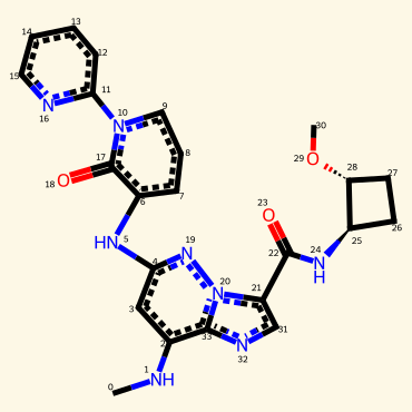 CNc1cc(Nc2cccn(-c3ccccn3)c2=O)nn2c(C(=O)N[C@@H]3CC[C@H]3OC)cnc12